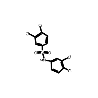 O=S(=O)(Nc1ccc(Cl)c(Cl)c1)c1ccc(Cl)c(Cl)c1